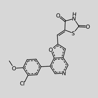 COc1ccc(-c2cncc3cc(/C=C4\SC(=O)NC4=O)oc23)cc1Cl